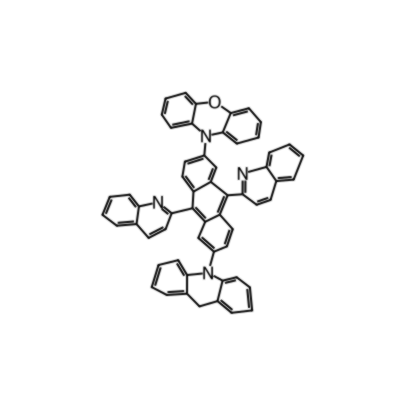 c1ccc2c(c1)Cc1ccccc1N2c1ccc2c(-c3ccc4ccccc4n3)c3cc(N4c5ccccc5Oc5ccccc54)ccc3c(-c3ccc4ccccc4n3)c2c1